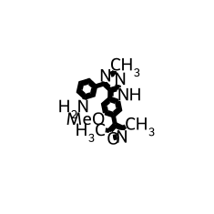 COc1cc2c(cc1-c1c(C)noc1C)[nH]c1nc(C)nc(-c3cccc(N)c3)c12